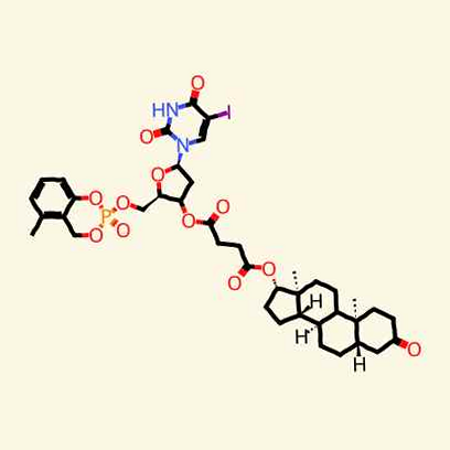 Cc1cccc2c1COP(=O)(OC[C@H]1O[C@@H](n3cc(I)c(=O)[nH]c3=O)CC1OC(=O)CCC(=O)O[C@H]1CC[C@H]3[C@@H]4CC[C@H]5CC(=O)CC[C@]5(C)C4CC[C@]13C)O2